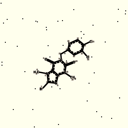 Cn1c(Br)nc2c1c(=O)n(Cc1cc(Cl)c(Cl)cn1)c(=O)n2C